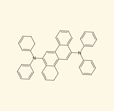 C1=CCCC(N(c2ccccc2)c2cc3c(cc(N(c4ccccc4)c4ccccc4)c4ccccc43)c3c2C=CCC3)=C1